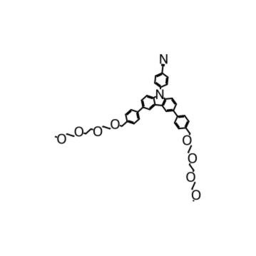 COCCOCCOCCOCc1ccc(-c2ccc3c(c2)c2cc(-c4ccc(COCCOCCOCCOC)cc4)ccc2n3-c2ccc(C#N)cc2)cc1